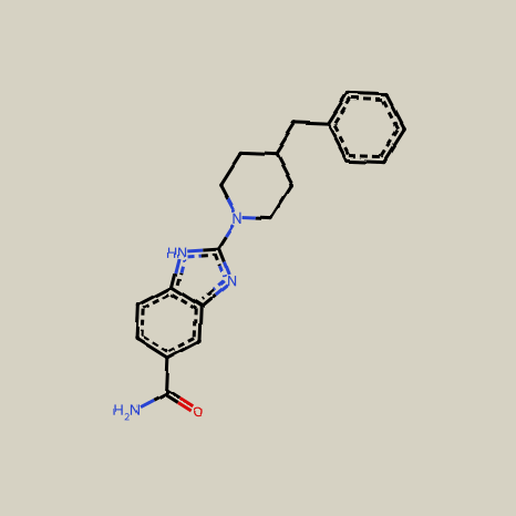 NC(=O)c1ccc2[nH]c(N3CCC(Cc4ccccc4)CC3)nc2c1